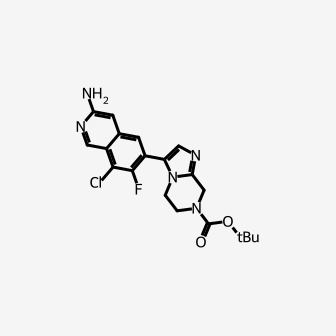 CC(C)(C)OC(=O)N1CCn2c(-c3cc4cc(N)ncc4c(Cl)c3F)cnc2C1